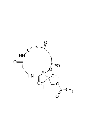 CC(=O)OCC(C)(C)[C@H]1OC(=O)CCC(=O)SCCNC(=O)CCNC1=O